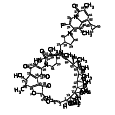 CO[C@H]1/C=C/O[C@@]2(C)Oc3c(C)c(O)c4c(c3C2=O)C(=O)C(N2CCC(N(C)CC3CCN(c5c(F)cn6c(=O)c(C)cc(C7CC7)c6c5C)C3)CC2)=C(NC(=O)/C(C)=C\C=C\[C@H](C)[C@H](O)[C@@H](C)[C@@H](O)[C@@H](C)[C@H](OC(C)=O)[C@@H]1C)C4=O